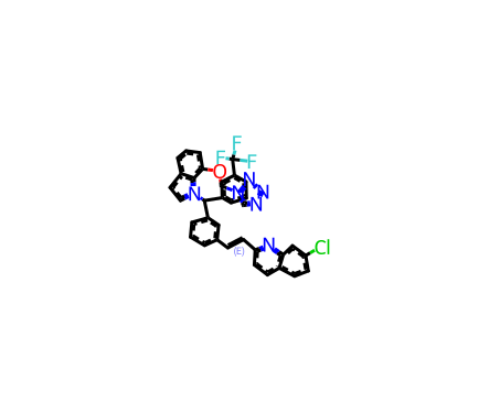 FC(F)(F)c1cccc(C(c2cccc(/C=C/c3ccc4ccc(Cl)cc4n3)c2)n2ccc3cccc(OCn4cnnn4)c32)c1